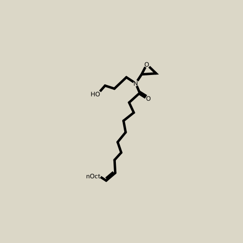 CCCCCCCC/C=C\CCCCCCCC(=O)N(CCCO)C1CO1